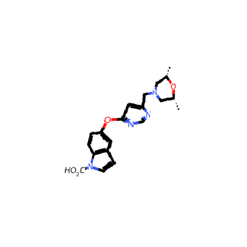 C[C@@H]1CN(Cc2cc(Oc3ccc4c(ccn4C(=O)O)c3)ncn2)C[C@H](C)O1